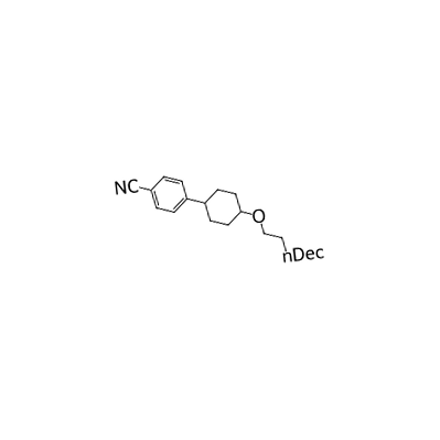 CCCCCCCCCCCCOC1CCC(c2ccc(C#N)cc2)CC1